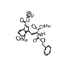 COC(=O)/C(=C\c1cn(C(=O)OC(C)(C)C)c2cccc(OC)c12)NC(=O)OCc1ccccc1